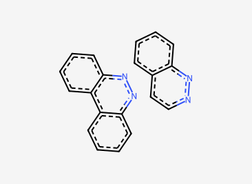 c1ccc2c(c1)nnc1ccccc12.c1ccc2nnccc2c1